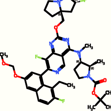 CCc1c(F)ccc2cc(OCOC)cc(-c3ncc4c(N(C)[C@@H]5CCN(C(=O)OC(C)(C)C)[C@@H]5C)nc(OC[C@@]56CCCN5C[C@H](F)C6)nc4c3F)c12